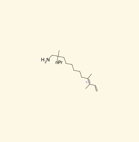 C=C/C(C)=C(\C)CCCCCCC(C)(CN)CCC